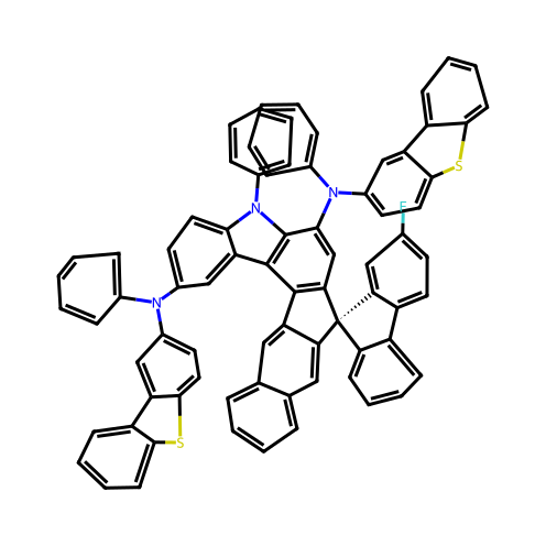 Fc1ccc2c(c1)[C@]1(c3ccccc3-2)c2cc3ccccc3cc2-c2c1cc(N(c1ccccc1)c1ccc3sc4ccccc4c3c1)c1c2c2cc(N(c3ccccc3)c3ccc4sc5ccccc5c4c3)ccc2n1-c1ccccc1